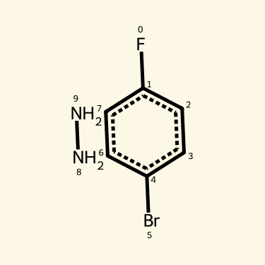 Fc1ccc(Br)cc1.NN